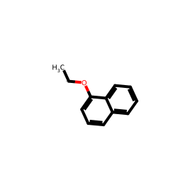 C[CH]Oc1cccc2ccccc12